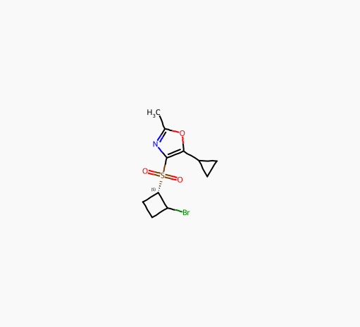 Cc1nc(S(=O)(=O)[C@H]2CCC2Br)c(C2CC2)o1